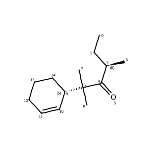 CC[C@@H](C)C(=O)C(C)(C)[C@@H]1C=CCCC1